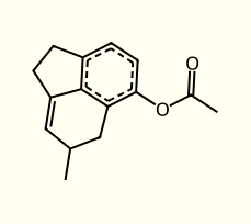 CC(=O)Oc1ccc2c3c1CC(C)C=C3CC2